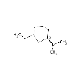 CCC1CCC[C@@H](N(C)C)C1